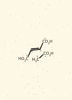 CC(=O)O.O=C(O)C=CC(=O)O